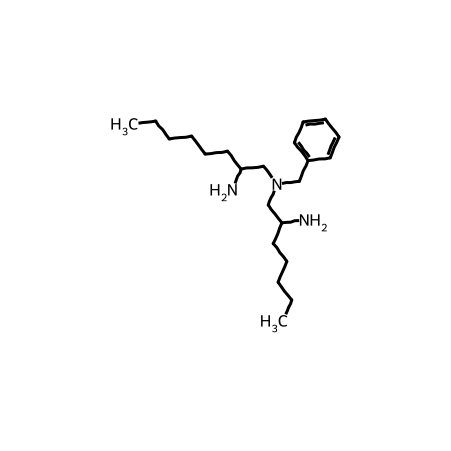 CCCCCCC(N)CN(Cc1ccccc1)CC(N)CCCCC